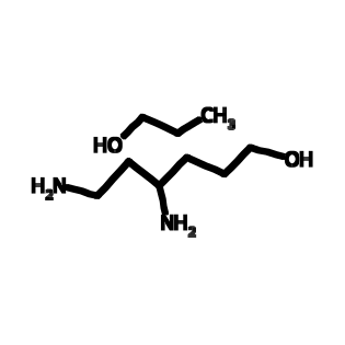 CCCO.NCCC(N)CCCO